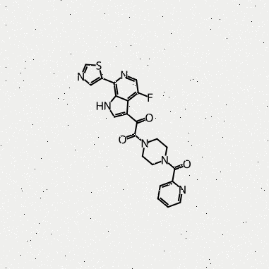 O=C(C(=O)N1CCN(C(=O)c2ccccn2)CC1)c1c[nH]c2c(-c3cncs3)ncc(F)c12